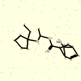 CCC1(OC(C)OC(=O)C2CC3C=CC2C3O)CCCC1